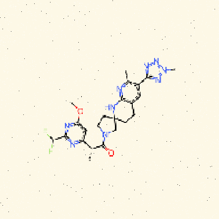 COc1cc([C@@H](C)C(=O)N2CC[C@@]3(CCc4cc(-c5nnn(C)n5)c(C)nc4N3)C2)nc(C(F)F)n1